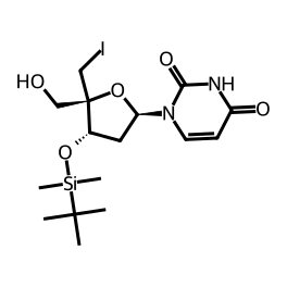 CC(C)(C)[Si](C)(C)O[C@H]1C[C@H](n2ccc(=O)[nH]c2=O)O[C@@]1(CO)CI